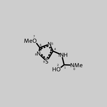 CNC(O)Nc1nc(OC)ns1